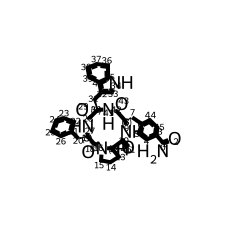 NC(=O)c1ccc(C[C@@H]2NC(=O)[C@H]3CCCN3C(=O)[C@H](Cc3ccccc3)NC(=O)[C@@H](Cc3c[nH]c4ccccc34)NC2=O)cc1